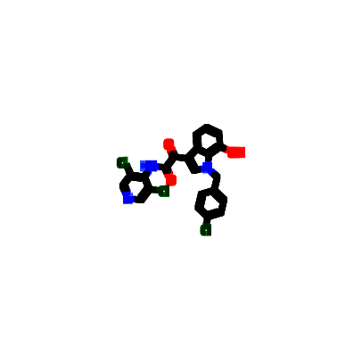 O=C(Nc1c(Cl)cncc1Cl)C(=O)c1cn(Cc2ccc(Cl)cc2)c2c(O)cccc12